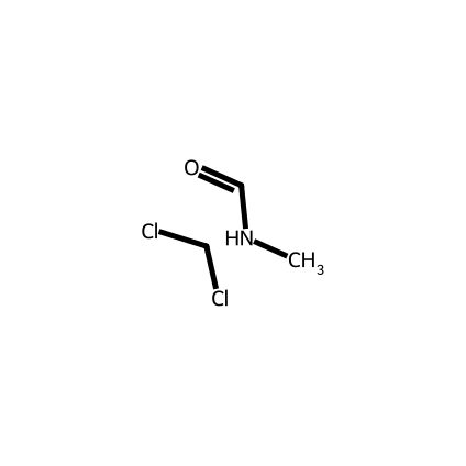 CNC=O.ClCCl